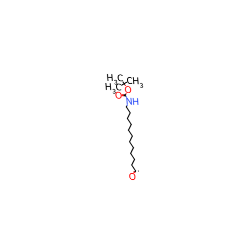 CC(C)(C)OC(=O)NCCCCCCCCCCC[C]=O